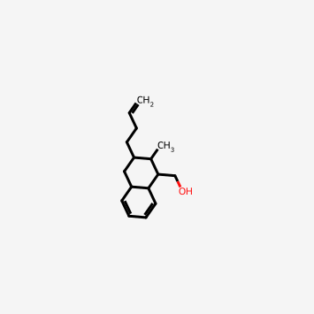 C=CCCC1CC2C=CC=CC2C(CO)C1C